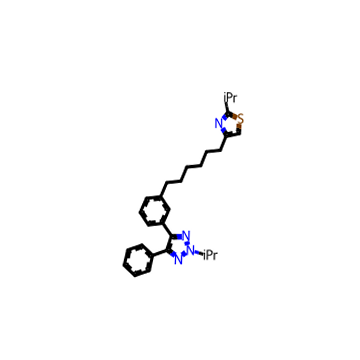 CC(C)c1nc(CCCCCCc2cccc(-c3nn(C(C)C)nc3-c3ccccc3)c2)cs1